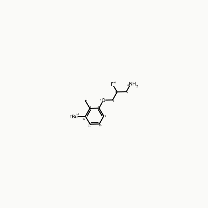 Cc1c(OCC(F)CN)cccc1C(C)(C)C